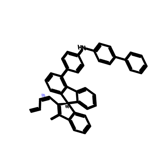 C=C/C=C\C1=C(C)c2ccccc2[C@]12c1ccccc1-c1c(-c3ccc(Nc4ccc(-c5ccccc5)cc4)cc3)cccc12